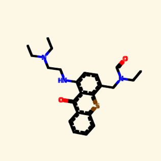 CCN(C=O)Cc1ccc(NCCN(CC)CC)c2c(=O)c3ccccc3sc12